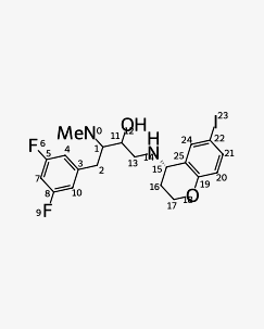 CNC(Cc1cc(F)cc(F)c1)C(O)CN[C@H]1CCOc2ccc(I)cc21